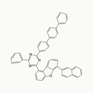 c1ccc(-c2ccc(-c3ccc(-c4nc(-c5ccccc5)nc(-c5cccc6oc7c(-c8ccc9ccccc9c8)cccc7c56)n4)cc3)cc2)cc1